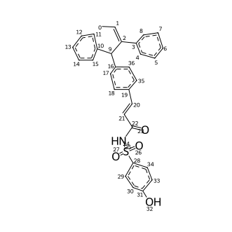 CC=C(c1ccccc1)C(c1ccccc1)c1ccc(C=CC(=O)NS(=O)(=O)c2ccc(O)cc2)cc1